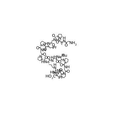 CC[C@H](C)[C@H](NC(=O)CNC(=O)[C@H](CCCNC(=N)N)NC(=O)[C@@H]1CCCN1C(=O)CNC(=O)[C@@H]1CCCN1C(=O)[C@H](CC(C)C)NC(=O)CNC(=O)[C@@H]1CCCN1C(=O)[C@H](C)NC(=O)CN)C(=O)N1CCC[C@H]1C(=O)NCC(=O)N1CCC[C@H]1C(=O)N[C@H](C(=O)O)C(C)C